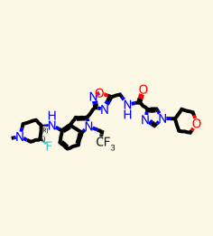 CN1CC[C@@H](Nc2cccc3c2cc(-c2noc(CNC(=O)c4cn(C5CCOCC5)cn4)n2)n3CC(F)(F)F)[C@@H](F)C1